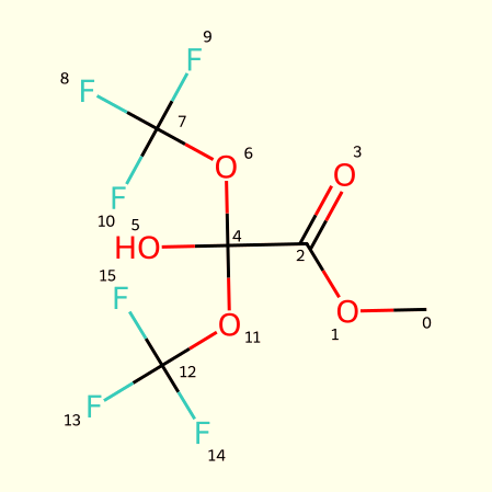 COC(=O)C(O)(OC(F)(F)F)OC(F)(F)F